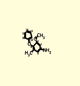 COc1cc(N)cc(C)c1Oc1ccccc1